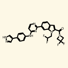 O=C(c1cc2ccc(-c3nccc(Nc4ccc(-c5cn[nH]c5)cc4)n3)cc2n1CC(F)F)N1CC(F)(F)C1